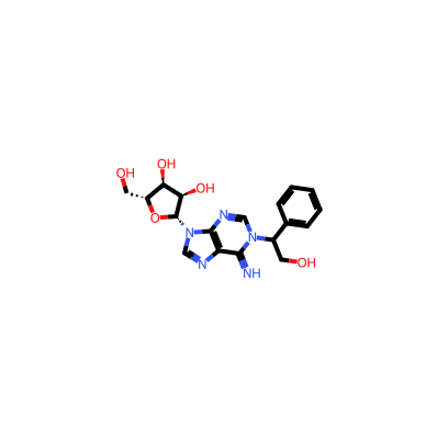 N=c1c2ncn([C@@H]3O[C@H](CO)[C@@H](O)[C@H]3O)c2ncn1C(CO)c1ccccc1